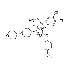 CN(C(=O)OC1CCC(C(F)(F)F)CC1)[C@]1(C(=O)C2CCN(C3CCOCC3)CC2)CNC[C@H]1c1ccc(Cl)c(Cl)c1